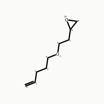 C=CCCCOCCC1CO1